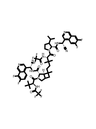 CC(C)C1CCN(C(=O)[C@@H](NC(=O)C(F)(F)F)C(C)(C)CCC2(C)CC3CN(C(=O)[C@@H](NC(=O)C(F)(F)F)C(C)(C)C)[C@H](C(=O)N[C@@H](C#N)c4cncc5c(F)c(F)ccc45)[C@H]32)[C@@H]1C(=O)N[C@@H](C#N)c1cncc2cc(F)c(F)cc12